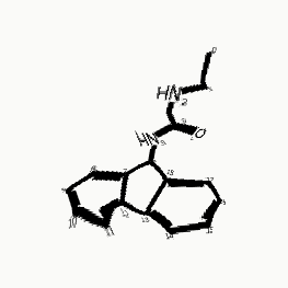 CCNC(=O)NC1c2ccccc2-c2ccccc21